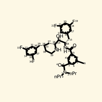 CCCN(CCC)C(=O)c1cc(C)cc(C(=O)N[C@@H](Cc2cc(F)cc(F)c2)[C@H](O)[C@H]2C[C@@H](Cc3cc(F)cc(F)c3)CCN2)c1